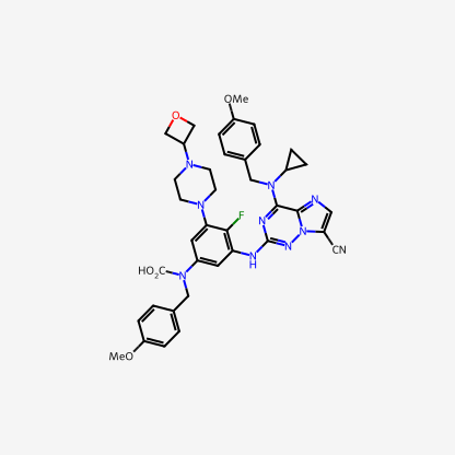 COc1ccc(CN(C(=O)O)c2cc(Nc3nc(N(Cc4ccc(OC)cc4)C4CC4)c4ncc(C#N)n4n3)c(F)c(N3CCN(C4COC4)CC3)c2)cc1